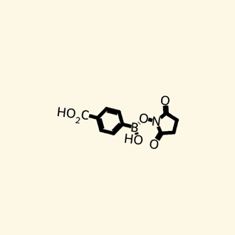 O=C(O)c1ccc(B(O)ON2C(=O)CCC2=O)cc1